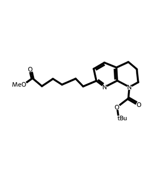 COC(=O)CCCCCc1ccc2c(n1)N(C(=O)OC(C)(C)C)CCC2